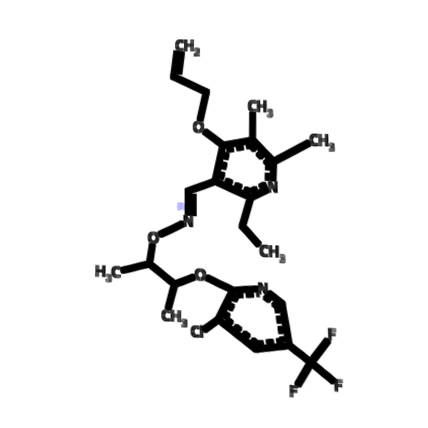 C=CCOc1c(C)c(C)nc(CC)c1/C=N/OC(C)C(C)Oc1ncc(C(F)(F)F)cc1Cl